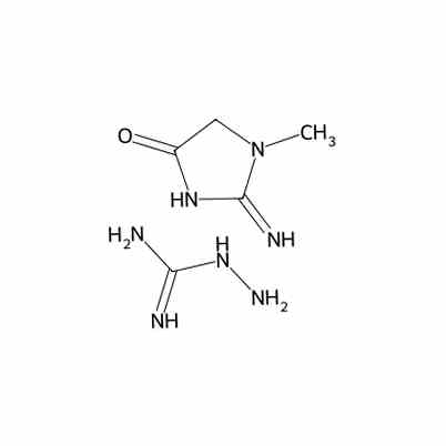 CN1CC(=O)NC1=N.N=C(N)NN